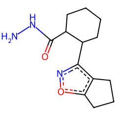 NNC(=O)C1CCCCC1c1noc2c1CCC2